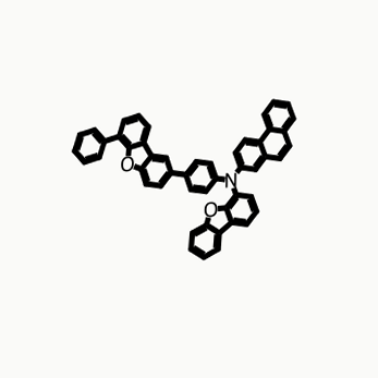 c1ccc(-c2cccc3c2oc2ccc(-c4ccc(N(c5ccc6c(ccc7ccccc76)c5)c5cccc6c5oc5ccccc56)cc4)cc23)cc1